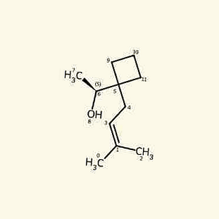 CC(C)=CCC1([C@H](C)O)CCC1